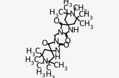 CN1C(C)(C)CC2(CC1(C)C)NC(=O)N(CN1C(=O)NC3(CC(C)(C)N(C)C(C)(C)C3)C1=O)C2=O